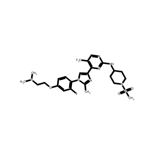 Cc1nc(-c2nc(NC3CCN(S(C)(=O)=O)CC3)ncc2C(F)(F)F)cn1-c1ccc(OCCN(C)C)cc1F